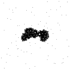 CC1(C)C2=C(C=CC(c3cccc4c(N(c5ccc6c(c5)C(C)(C)C5C=CC=CC65)c5cccc6ccccc56)cccc34)C2)N2c3ccccc3C(C)(C)c3cccc1c32